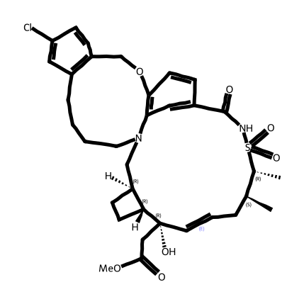 COC(=O)C[C@]1(O)/C=C/C[C@H](C)[C@@H](C)S(=O)(=O)NC(=O)c2ccc3c(c2)N(CCCCc2cc(Cl)ccc2CO3)C[C@@H]2CC[C@H]21